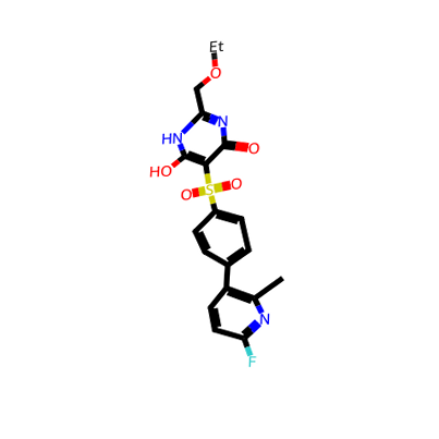 CCOCc1nc(=O)c(S(=O)(=O)c2ccc(-c3ccc(F)nc3C)cc2)c(O)[nH]1